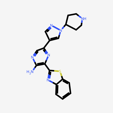 Nc1ncc(-c2cnn(C3CCNCC3)c2)nc1-c1nc2ccccc2s1